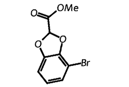 COC(=O)C1Oc2cccc(Br)c2O1